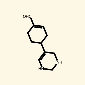 O=CC1=CCC(C2=CNCNC2)CC1